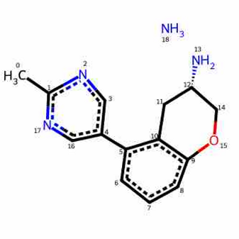 Cc1ncc(-c2cccc3c2C[C@H](N)CO3)cn1.N